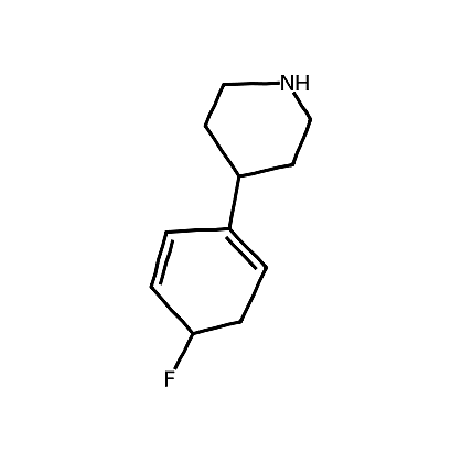 FC1C=CC(C2CCNCC2)=CC1